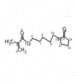 C=C(C)C(=O)OCCCCCN1CCCC1=O